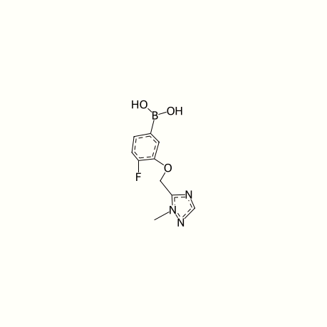 Cn1ncnc1COc1cc(B(O)O)ccc1F